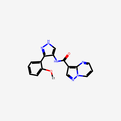 CCOc1ccccc1-c1n[nH]cc1NC(=O)c1cnn2cccnc12